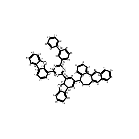 C1=C(C2CCc3cc4ccccc4cc3-c3ccccc32)C=C(c2nc(-c3cccc(-c4ccccc4)c3)nc(-c3cccc4c3oc3ccccc34)n2)C2Oc3ccccc3C12